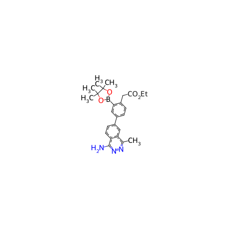 CCOC(=O)Cc1ccc(-c2ccc3c(N)nnc(C)c3c2)cc1B1OC(C)(C)C(C)(C)O1